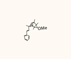 C=C(C)C1(C)C(OC)C1(C)/N=C(C)\C=C\c1ccccc1